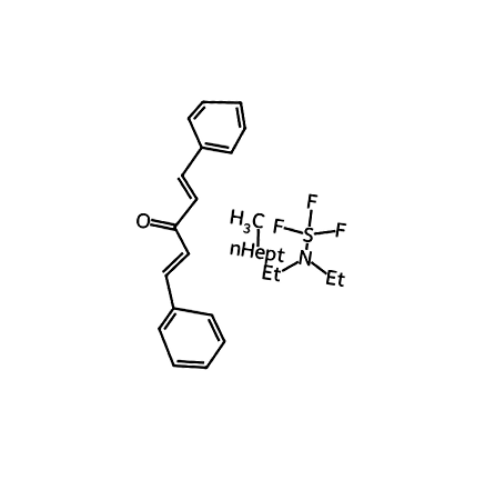 CCCCCCCC.CCN(CC)S(F)(F)F.O=C(C=Cc1ccccc1)C=Cc1ccccc1